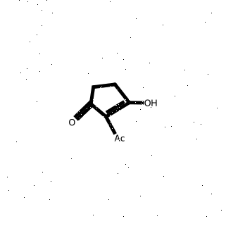 CC(=O)C1=C(O)CCC1=O